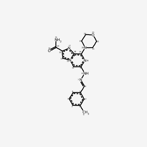 Cc1cccc(/C=N/Nc2cn3cc(C(N)=O)nc3c(N3CCOCC3)n2)c1